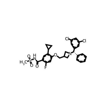 CS(=O)(=O)NC(=O)c1cc(C2CC2)c(OCC2CN([C@@H](c3ccccc3)c3cc(Cl)cc(Cl)c3)C2)cc1F